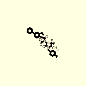 C[C@H](N(Cc1ccc(F)cc1)C(=O)CN1C(=O)O[C@]2(CCc3cc(-c4ccccc4)ccc32)C1=O)C(F)(F)F